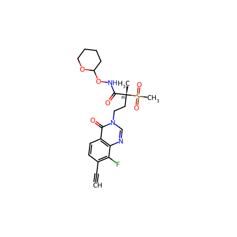 C#Cc1ccc2c(=O)n(CC[C@](C)(C(=O)NOC3CCCCO3)S(C)(=O)=O)cnc2c1F